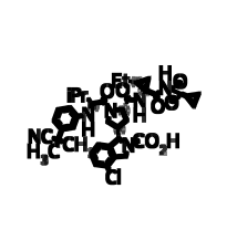 CC[C@@H]1C[C@]1(NC(=O)[C@@H]1C[C@@H](C2c3cccc(Cl)c3CN2C(=O)O)CN1C(=O)[C@@H](Nc1cccc(C(C)(C)C#N)c1)C(C)C)C(=O)NS(=O)(=O)C1CC1